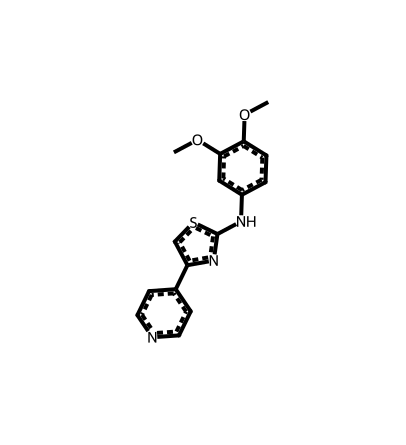 COc1ccc(Nc2nc(-c3ccncc3)cs2)cc1OC